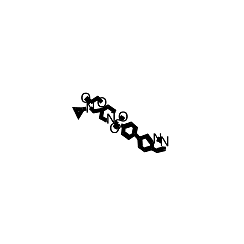 O=C1COC2(CCN(S(=O)(=O)c3ccc(-c4ccc5ccnnc5c4)cc3)CC2)CN1C1CC1